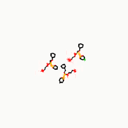 Cc1ccc(S(=O)(=O)C(CCc2ccccc2)C(O)CCCC(=O)O)cc1.O=C(O)CCCC(O)C(/C=C/c1ccccc1)S(=O)(=O)c1ccccc1.O=C(O)CCCC(O)C(CCc1ccccc1)S(=O)(=O)c1ccc(Cl)cc1